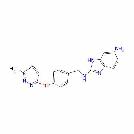 Cc1ccc(Oc2ccc(CNc3nc4ccc(N)cc4[nH]3)cc2)nn1